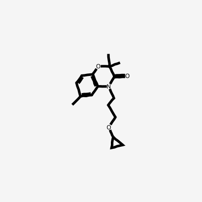 Cc1ccc2c(c1)N(CCCOC1CC1)C(=O)C(C)(C)O2